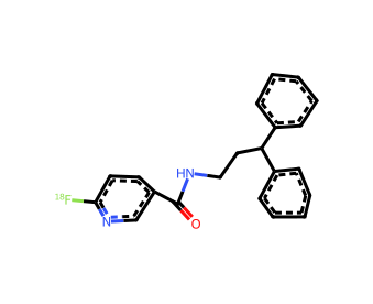 O=C(NCCC(c1ccccc1)c1ccccc1)c1ccc([18F])nc1